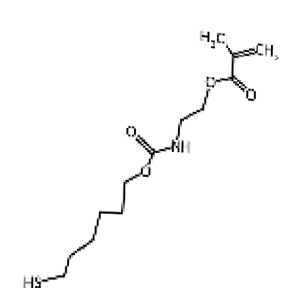 C=C(C)C(=O)OCCNC(=O)OCCCCCCS